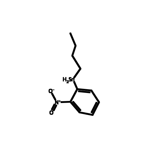 CCC[CH2][SnH2][c]1ccccc1[N+](=O)[O-]